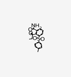 CCC(=O)c1c(C(N)=O)cccc1S(=O)(=O)c1ccc(C)cc1